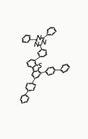 c1ccc(-c2ccc(-c3cc(-c4ccc(-c5ccccc5)cc4)c4sc5c(-c6cccc(-c7nc(-c8ccccc8)nc(-c8ccccc8)n7)c6)cccc5c4c3)cc2)cc1